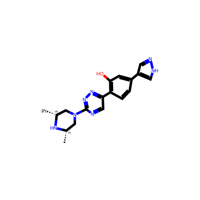 CC(C)[C@@H]1CN(c2ncc(-c3ccc(-c4cn[nH]c4)cc3O)nn2)C[C@H](C)N1